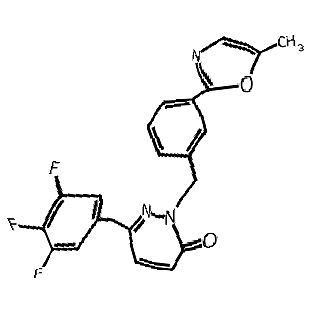 Cc1cnc(-c2cccc(Cn3nc(-c4cc(F)c(F)c(F)c4)ccc3=O)c2)o1